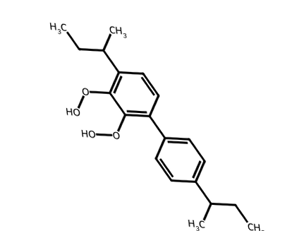 CCC(C)c1ccc(-c2ccc(C(C)CC)c(OO)c2OO)cc1